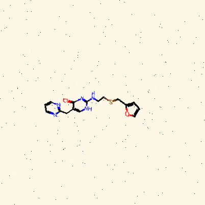 O=c1nc(NCCSCc2ccco2)[nH]cc1Cc1ncccn1